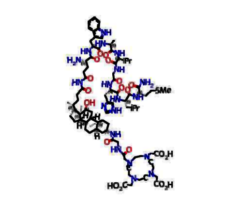 CSCC[C@H](NC(=O)[C@H](CC(C)C)NC(=O)[C@H](Cc1c[nH]cn1)NC(=O)CNC(=O)[C@@H](NC(=O)[C@H](C)NC(=O)[C@H](Cc1c[nH]c2ccccc12)NC(=O)[C@@H](N)CCC(=O)NC(=O)CC[C@@H](C)[C@H]1CC[C@H]2[C@@H]3CC[C@@H]4C[C@@H](NC(=O)CNC(=O)CN5CCN(CC(=O)O)CCN(CC(=O)O)CCN(CC(=O)O)CC5)CC[C@]4(C)[C@H]3C[C@H](O)[C@]12C)C(C)C)C(N)=O